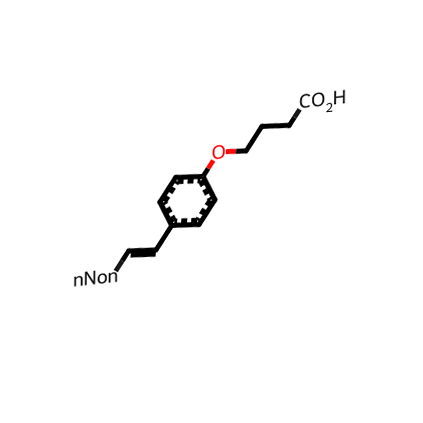 CCCCCCCCCC=Cc1ccc(OCCCC(=O)O)cc1